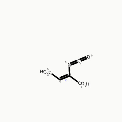 O=C=N/C(=C\C(=O)O)C(=O)O